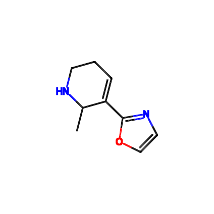 CC1NCCC=C1c1ncco1